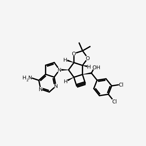 CC1(C)O[C@H]2[C@H](n3ccc4c(N)ncnc43)[C@H]3C#C[C@@]3(C(O)c3ccc(Cl)c(Cl)c3)[C@H]2O1